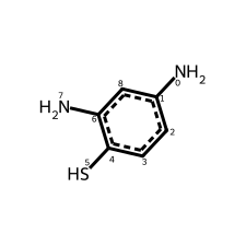 Nc1ccc(S)c(N)c1